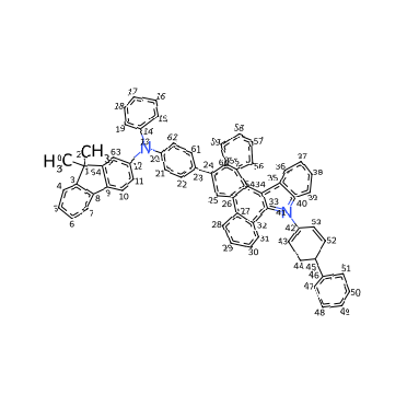 CC1(C)c2ccccc2-c2ccc(N(c3ccccc3)c3ccc(-c4cc5c6ccccc6c6c(c7ccccc7n6C6=CCC(c7ccccc7)C=C6)c5c5ccccc45)cc3)cc21